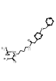 N=C(N)N[C@@H](CCCCNC(=O)Cc1ccc(OCc2ccccc2)cc1)C(N)=O